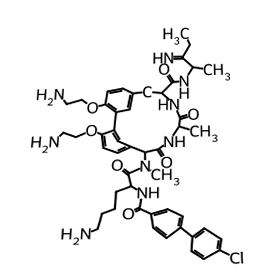 CCC(=N)C(C)NC(=O)C1Cc2ccc(OCCN)c(c2)-c2cc(ccc2OCCN)C(N(C)C(=O)C(CCCCN)NC(=O)c2ccc(-c3ccc(Cl)cc3)cc2)C(=O)NC(C)C(=O)N1